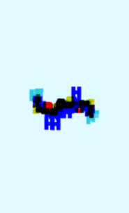 O=C(Cc1csc(N2CC(F)(F)C2)n1)Nc1nnc([C@H]2CCC[C@H](C3NNC(NC(=O)Cc4csc(N5CC(F)(F)C5)n4)S3)C2)s1